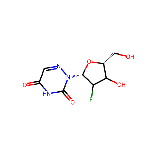 O=c1cnn([C@@H]2O[C@H](CO)C(O)C2F)c(=O)[nH]1